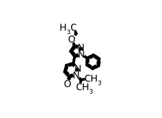 CCOc1cc(-c2ccc(=O)n(C(C)C)n2)n(-c2ccccc2)n1